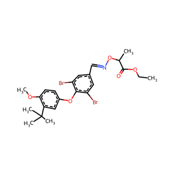 CCOC(=O)C(C)ON=Cc1cc(Br)c(Oc2ccc(OC)c(C(C)(C)C)c2)c(Br)c1